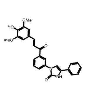 COc1cc(C=CC(=O)c2cccc(-n3cc(-c4ccccc4)[nH]c3=O)c2)cc(OC)c1O